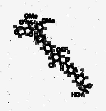 COC(=O)NC(C(=O)N1C[C@@H](OC)C[C@H]1c1nc(-c2ccc(-c3cc(Cl)c(NC(=O)c4ccc(N5CCN(C(=O)C(C)(C)CO)C[C@H]5C)nc4)cc3OC(F)(F)F)cc2)c[nH]1)C1CCOCC1